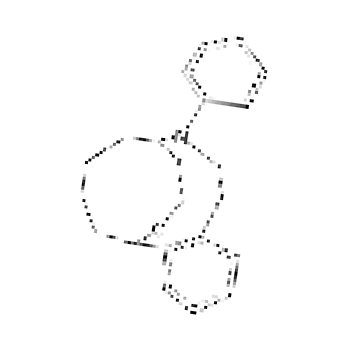 c1ccc(N2CCc3ccccc3C3CCCCC2CCC3)cc1